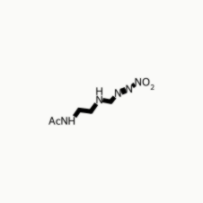 CC(=O)NCCNCN=N[N+](=O)[O-]